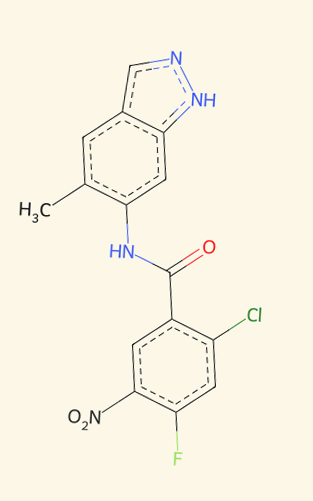 Cc1cc2cn[nH]c2cc1NC(=O)c1cc([N+](=O)[O-])c(F)cc1Cl